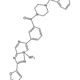 N[N+]12C=C(c3cccc(C(=O)N4CCN(Cc5ccccc5)CC4)c3)N=CC1=NC(c1ccco1)=N2